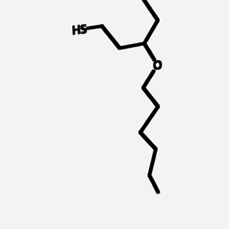 CCCCCCOC(CC)CCS